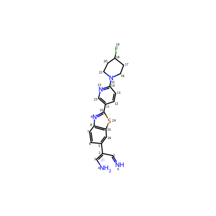 N=C/C(=C\N)c1ccc2nc(-c3ccc(N4CCC(F)CC4)nc3)sc2c1